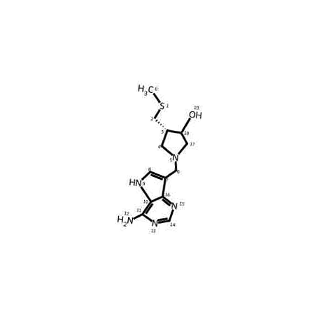 CSC[C@H]1CN(Cc2c[nH]c3c(N)ncnc23)CC1O